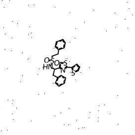 O=S(=O)(CCc1ccccc1)NC(Cc1[c]cccc1)c1csc(-c2cccs2)n1